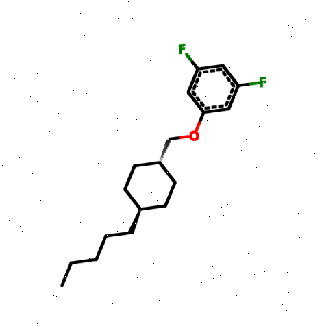 CCCCC[C@H]1CC[C@H](COc2cc(F)cc(F)c2)CC1